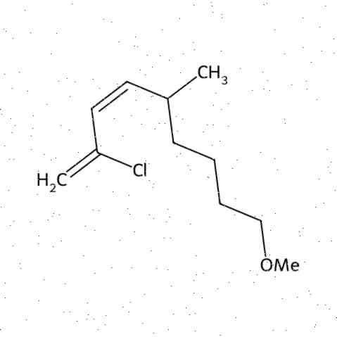 C=C(Cl)/C=C\C(C)CCCCOC